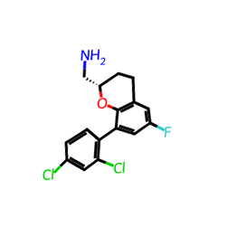 NC[C@@H]1CCc2cc(F)cc(-c3ccc(Cl)cc3Cl)c2O1